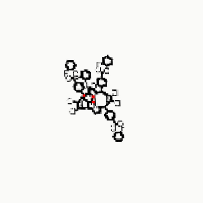 O=C(Oc1ccccc1F)c1ccc(/C2=C3N=C(C(Cl)=C/3Cl)/C(c3ccc(C(=O)Oc4ccccc4F)cc3)=c3/cc/c4n3Nn3c2ccc3/C(c2ccc(C(=O)Oc3ccccc3F)cc2)=C2N=C(C(Cl)=C\2Cl)/C=4c2ccc(C(=O)Oc3ccccc3F)cc2)cc1